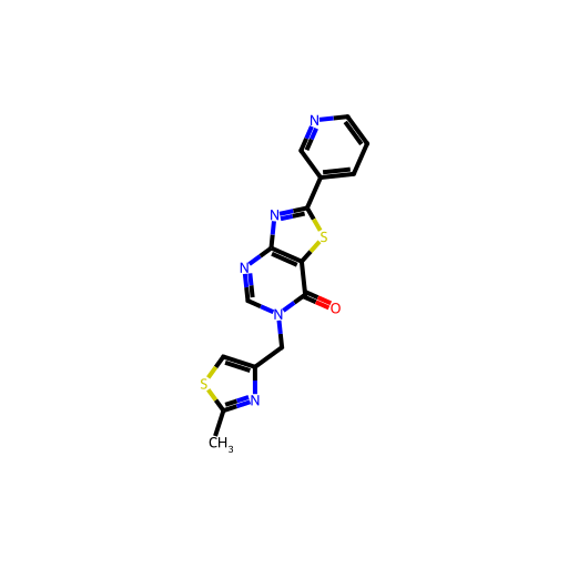 Cc1nc(Cn2cnc3nc(-c4cccnc4)sc3c2=O)cs1